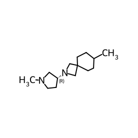 CC1CCC2(CC1)CN([C@@H]1CCN(C)C1)C2